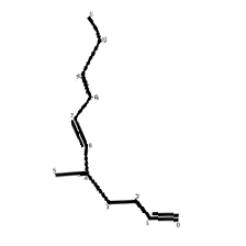 C=CCCC(C)C=CCCCC